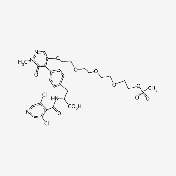 Cn1ncc(OCCOCCOCCOCCOS(C)(=O)=O)c(-c2ccc(CC(NC(=O)c3c(Cl)cncc3Cl)C(=O)O)cc2)c1=O